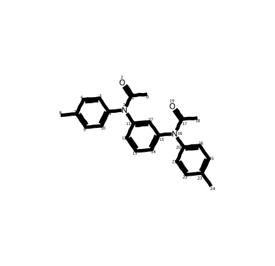 CC(=O)N(c1ccc(C)cc1)c1cccc(N(C(C)=O)c2ccc(C)cc2)c1